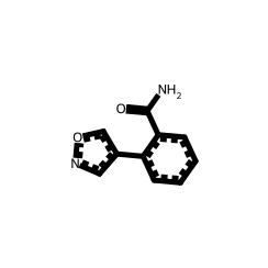 NC(=O)c1ccccc1-c1cnoc1